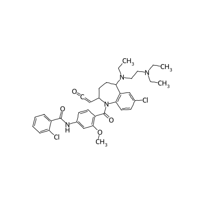 CCN(CC)CCN(CC)C1CCC(C=C=O)N(C(=O)c2ccc(NC(=O)c3ccccc3Cl)cc2OC)c2ccc(Cl)cc21